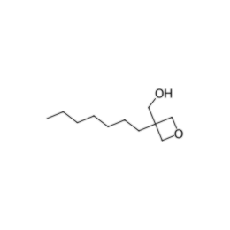 CCCCCCCC1(CO)COC1